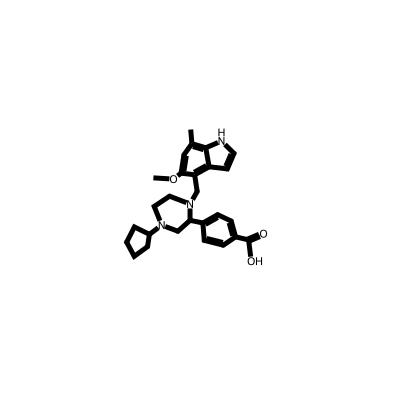 COc1cc(C)c2[nH]ccc2c1CN1CCN(C2CCCC2)CC1c1ccc(C(=O)O)cc1